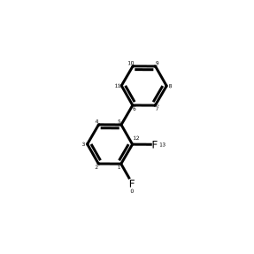 Fc1cccc(-c2[c]cccc2)c1F